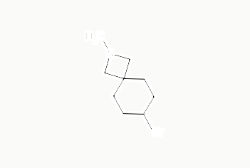 CC(C)C1CCC2(CC1)CN(C)C2